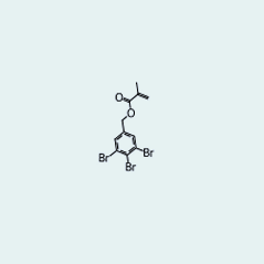 C=C(C)C(=O)OCc1cc(Br)c(Br)c(Br)c1